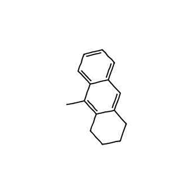 Cc1c2c(cc3ccccc13)CCCC2